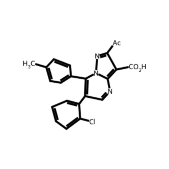 CC(=O)c1nn2c(-c3ccc(C)cc3)c(-c3ccccc3Cl)cnc2c1C(=O)O